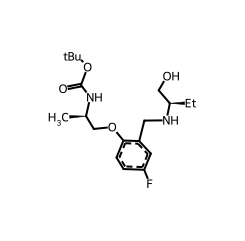 CC[C@H](CO)NCc1cc(F)ccc1OC[C@@H](C)NC(=O)OC(C)(C)C